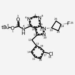 CC(C)(C)OC(=O)Nc1ncnc2c1c(Cc1cccc(Cl)c1)nn2[C@H]1C[C@@H](F)C1